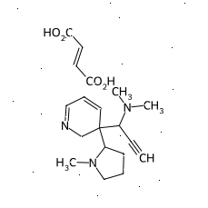 C#CC(N(C)C)C1(C2CCCN2C)C=CC=NC1.O=C(O)C=CC(=O)O